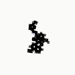 CC(C)c1cnc(/C=C/C[C@]23CC[C@](C)(O2)[C@@H]2C(=O)N(c4ccc(C#N)c5ccccc45)C(=O)[C@@H]23)o1